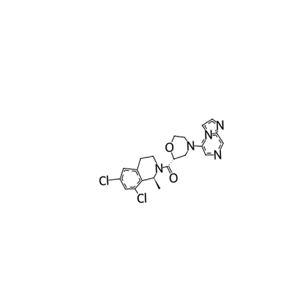 C[C@H]1c2c(Cl)cc(Cl)cc2CCN1C(=O)[C@H]1CN(c2cncc3nccn23)CCO1